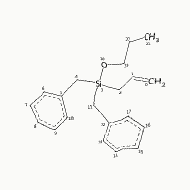 C=CC[Si](Cc1ccccc1)(Cc1ccccc1)OCCC